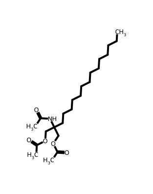 CCCCCCCCCCCCCCC(COC(C)=O)(COC(C)=O)NC(C)=O